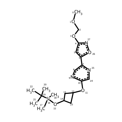 COCOc1cc(-c2cnc(OC3CC(O[Si](C)(C)C(C)(C)C)C3)cn2)on1